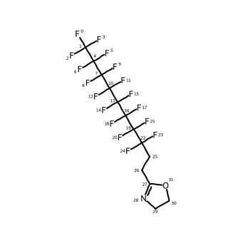 FC(F)(F)C(F)(F)C(F)(F)C(F)(F)C(F)(F)C(F)(F)C(F)(F)C(F)(F)CCC1=NCCO1